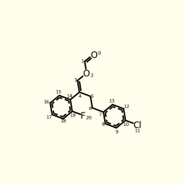 O=CO/C=C(\CCc1ccc(Cl)cc1)c1ccccc1F